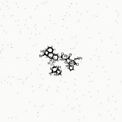 CC(C)C[C@H]1C(=O)N2CCC[C@H]2[C@]2(O)O[C@](NC(=O)[C@@H]3C=C4c5cccc6[nH]c(Br)c(c56)C[C@H]4N(C)C3)(C(C)C)C(=O)N12.S=c1nc[nH]c2nc[nH]c12